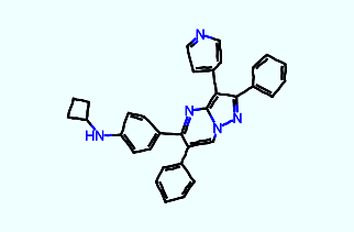 c1ccc(-c2cn3nc(-c4ccccc4)c(-c4ccncc4)c3nc2-c2ccc(NC3CCC3)cc2)cc1